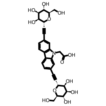 O=C(O)Cn1c2cc(C#C[C@H]3O[C@H](CO)[C@@H](O)[C@H](O)[C@@H]3O)ccc2c2ccc(C#C[C@H]3O[C@H](CO)[C@@H](O)[C@H](O)[C@@H]3O)cc21